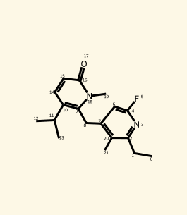 CCc1nc(F)cc(Cc2c(C(C)C)ccc(=O)n2C)c1C